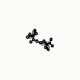 c1ccc(-c2cc(-c3ccc(-c4ccc5oc6c(-c7cc(-c8cccc9c8oc8ccccc89)nc(-c8cc(-c9ccccc9)cc(-c9ccccc9)c8)n7)cccc6c5c4)cc3)cc(-c3cc(-c4cccc5c4oc4ccccc45)nc(-c4cccc5c4oc4ccccc45)n3)c2)cc1